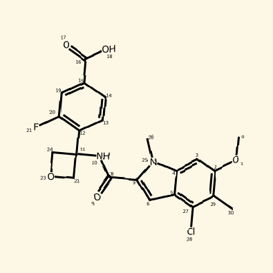 COc1cc2c(cc(C(=O)NC3(c4ccc(C(=O)O)cc4F)COC3)n2C)c(Cl)c1C